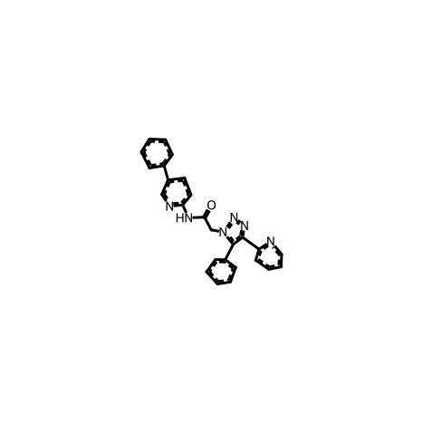 O=C(Cn1nnc(-c2ccccn2)c1-c1ccccc1)Nc1ccc(-c2ccccc2)cn1